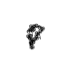 CS(=O)(=O)n1ccc(C(=O)N[C@@H](COCc2ccc(C(=O)NCCOCc3cccc(COCCOc4ccc5c(c4)C(=O)N(C4CCC(=O)NC4=O)C5=O)c3)cc2)C(=O)Nc2nc(-c3ccccc3)cs2)c1